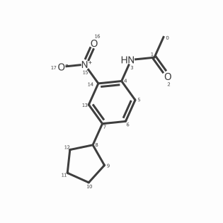 CC(=O)Nc1ccc(C2CCCC2)cc1[N+](=O)[O-]